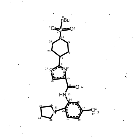 CCCCS(=O)(=O)N1CCC(c2nc(C(=O)Nc3cc(C(F)(F)F)ccc3N3CCCC3)cs2)CC1